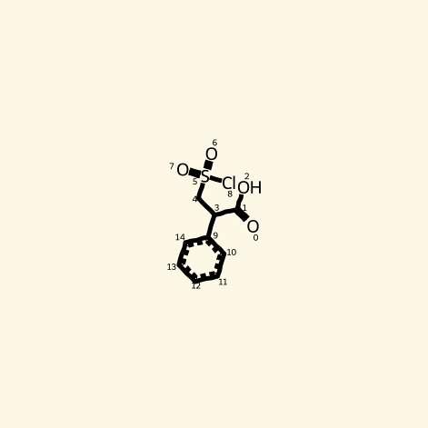 O=C(O)C(CS(=O)(=O)Cl)c1ccccc1